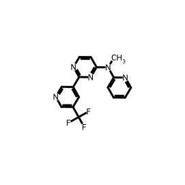 CN(c1ccccn1)c1ccnc(-c2cncc(C(F)(F)F)c2)n1